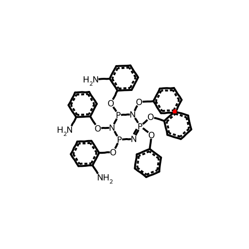 Nc1ccccc1ON1P(Oc2ccccc2N)N=P(Oc2ccccc2)(Oc2ccccc2)N(Oc2ccccc2)P1Oc1ccccc1N